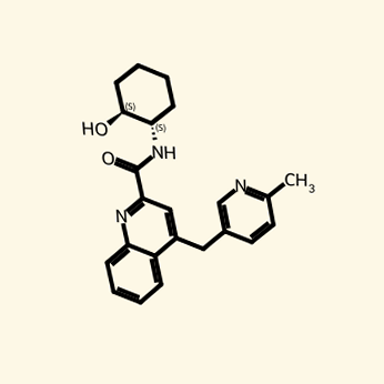 Cc1ccc(Cc2cc(C(=O)N[C@H]3CCCC[C@@H]3O)nc3ccccc23)cn1